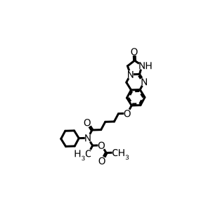 CC(=O)OC(C)N(C(=O)CCCCOc1ccc2c(c1)CN1CC(=O)NC1=N2)C1CCCCC1